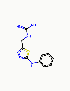 N=C(N)NCc1nnc(Nc2ccccc2)s1